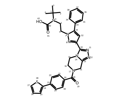 CC(C)(C)N(CCn1nc(-c2nnc3n2CCN(C(=O)c2ccc(-c4cccs4)cc2)C3)cc1-c1ccccc1)C(=O)O